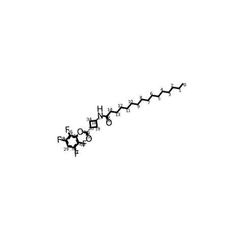 CCCCCCCCCCCCCCCC(=O)N[C@H]1C[C@H](C(=O)Oc2c(F)c(F)cc(F)c2F)C1